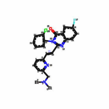 CCN(CC)Cc1cccc(/C=C/c2nc3ccc(F)cc3c(=O)n2-c2ccccc2Cl)n1